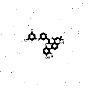 COc1c(O)ccc2c1-c1ccc3c(c1/C(=C/c1cccc(Oc4cc(Cl)cc(Cl)c4)c1)O2)C(C)=CC(C)(C)N3